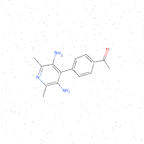 CC(=O)c1ccc(-c2c(N)c(C)nc(C)c2N)cc1